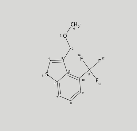 [CH2]OCc1csc2cccc(C(F)(F)F)c12